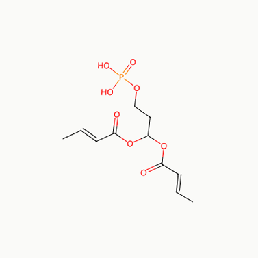 CC=CC(=O)OC(CCOP(=O)(O)O)OC(=O)C=CC